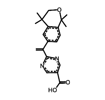 C=C(c1ccc2c(c1)C(C)(C)COC2(C)C)c1ncc(C(=O)O)cn1